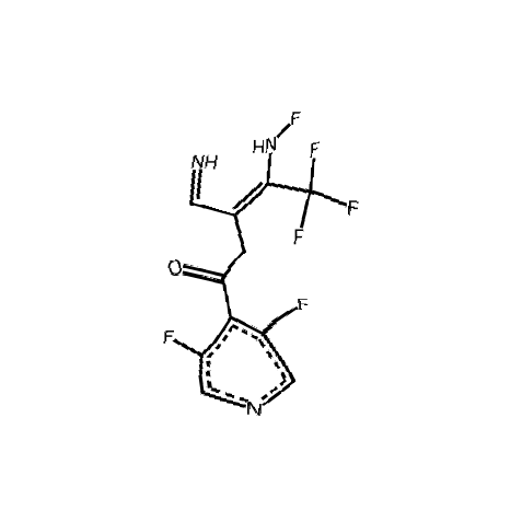 N=C/C(CC(=O)c1c(F)cncc1F)=C(\NF)C(F)(F)F